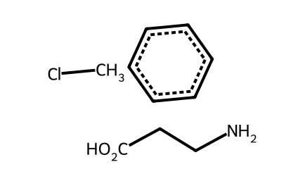 CCl.NCCC(=O)O.c1ccccc1